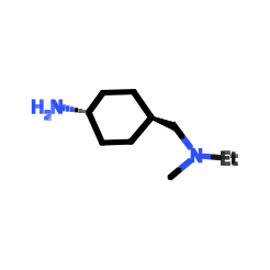 CCN(C)C[C@H]1CC[C@H](N)CC1